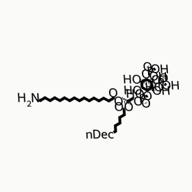 CCCCCCCCCCCCCCCC(=O)O[C@H](COC(=O)CCCCCCCCCCCCCCCN)COP(=O)(O)OC1C(O)[C@H](O)C(OP(=O)(O)O)[C@H](OP(=O)(O)O)[C@@H]1O